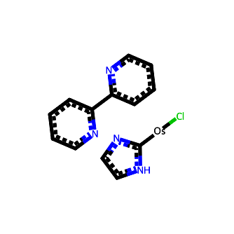 [Cl][Os][c]1ncc[nH]1.c1ccc(-c2ccccn2)nc1